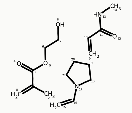 C=C(C)C(=O)OCCO.C=CC(=O)NC.C=CN1CCCC1